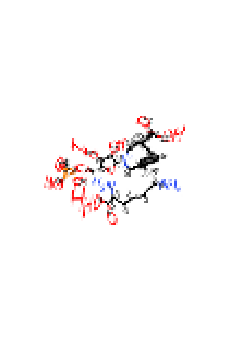 NCCCCC(N)C(=O)O.O=C(O)c1ccc[n+]([C@@H]2O[C@H](COP(=O)(O)O)[C@@H](O)[C@H]2O)c1